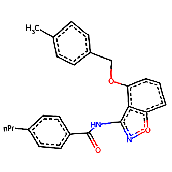 CCCc1ccc(C(=O)Nc2noc3cccc(OCc4ccc(C)cc4)c23)cc1